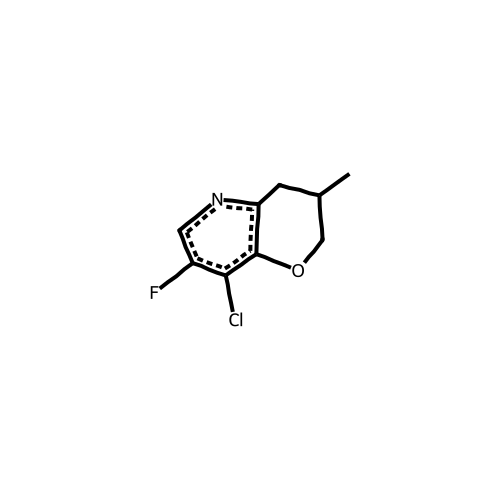 CC1COc2c(ncc(F)c2Cl)C1